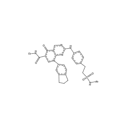 CCNC(=O)c1cn(-c2ccc3c(c2)CCC3)c2nc(Nc3ccc(CCS(=O)(=O)NC(C)C)cc3)ncc2c1=O